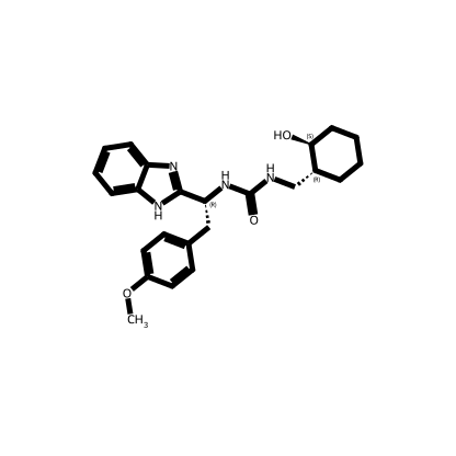 COc1ccc(C[C@@H](NC(=O)NC[C@H]2CCCC[C@@H]2O)c2nc3ccccc3[nH]2)cc1